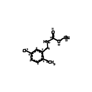 Cc1ccc(Cl)cc1CNC(=O)OC(C)(C)C